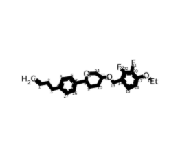 C=CCCc1ccc(C2CCC(OCc3ccc(OCC)c(F)c3F)CO2)cc1